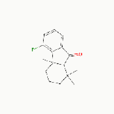 CC1(C)CCCC2(C)c3c(F)cccc3C(=O)C12